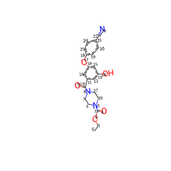 CCOC(=O)N1CCN(C(=O)c2cc(O)cc(Oc3ccc(C#N)cc3)c2)CC1